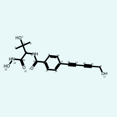 CC(C)(O)C(NC(=O)c1ccc(C#CC#CCO)cc1)C(=O)NO